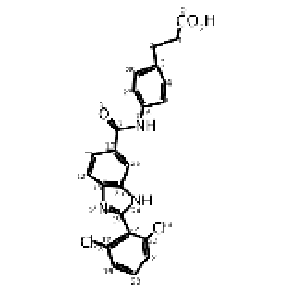 O=C(O)CCc1ccc(NC(=O)c2ccc3nc(-c4c(Cl)cccc4Cl)[nH]c3c2)cc1